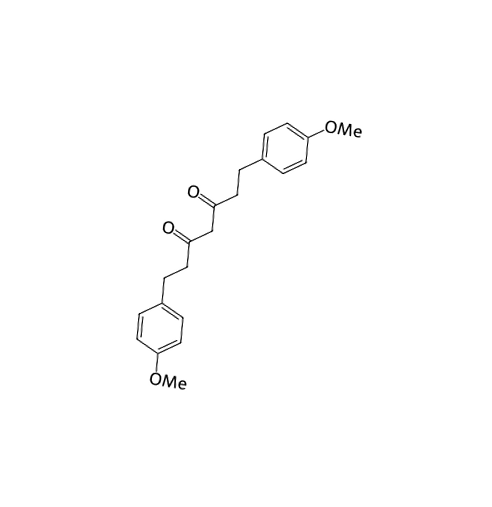 COc1ccc(CCC(=O)CC(=O)CCc2ccc(OC)cc2)cc1